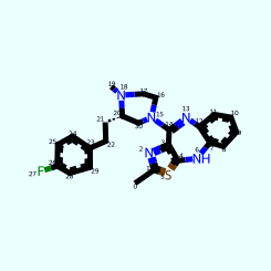 Cc1nc2c(s1)Nc1ccccc1N=C2N1CCN(C)[C@@H](CCc2ccc(F)cc2)C1